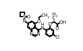 CCOc1cc(N=S2(=O)CCC2)cc2ncnc(Nc3ccc(Cl)cc3O[C@H](C)C(=O)O)c12